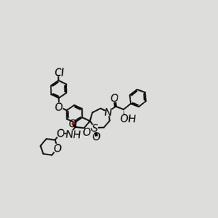 O=C(CC1(c2ccc(Oc3ccc(Cl)cc3)cc2)CCN(C(=O)[C@@H](O)c2ccccc2)CCS1(=O)=O)NOC1CCCCO1